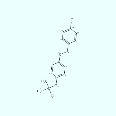 CCC(C)(C)Oc1ccc(OCc2ccc(F)cc2)cc1